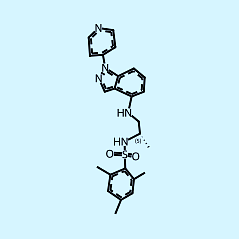 Cc1cc(C)c(S(=O)(=O)N[C@@H](C)CNc2cccc3c2cnn3-c2ccncc2)c(C)c1